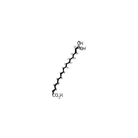 O=C(O)CCCCCCCCCCCCCCCC=CB(O)O